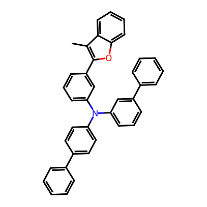 Cc1c(-c2cccc(N(c3ccc(-c4ccccc4)cc3)c3cccc(-c4ccccc4)c3)c2)oc2ccccc12